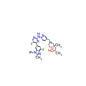 Cc1nc2c(F)cc(-c3nc(Nc4ccc(CN5CCOC(C)(CC(C)O)C5)cn4)ncc3F)cc2n1C(C)C